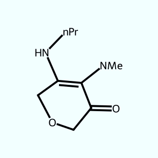 CCCNC1=C(NC)C(=O)COC1